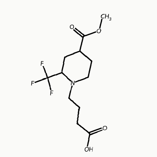 COC(=O)C1CCN(CCCC(=O)O)C(C(F)(F)F)C1